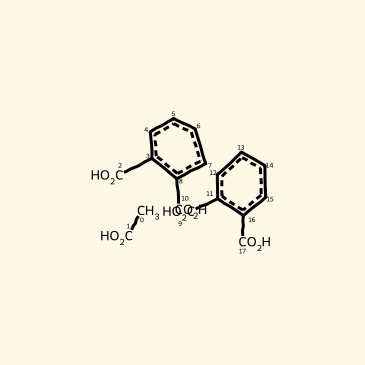 CC(=O)O.O=C(O)c1ccccc1C(=O)O.O=C(O)c1ccccc1C(=O)O